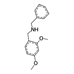 COc1ccc(CNCc2ccccc2)c(OC)c1